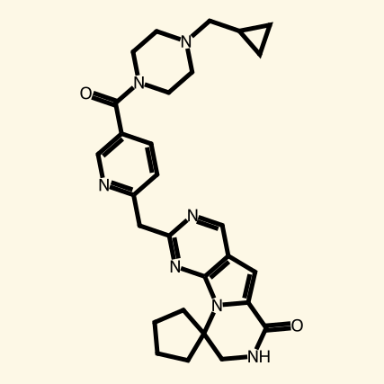 O=C1NCC2(CCCC2)n2c1cc1cnc(Cc3ccc(C(=O)N4CCN(CC5CC5)CC4)cn3)nc12